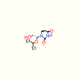 CCC(CC)O[C@H](CO)n1ccc(=O)[nH]c1=O